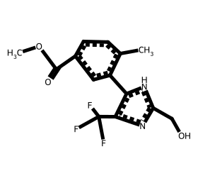 COC(=O)c1ccc(C)c(-c2[nH]c(CO)nc2C(F)(F)F)c1